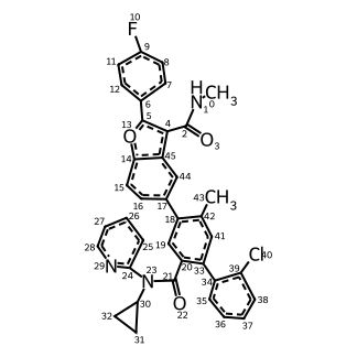 CNC(=O)c1c(-c2ccc(F)cc2)oc2ccc(-c3cc(C(=O)N(c4ccccn4)C4CC4)c(-c4ccccc4Cl)cc3C)cc12